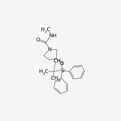 CNC(=O)N1CCC(O[Si](c2ccccc2)(c2ccccc2)C(C)(C)C)C1